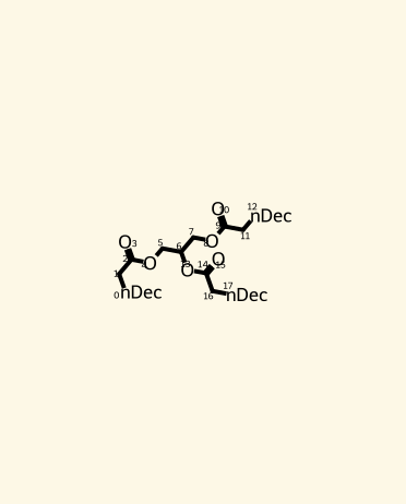 CCCCCCCCCCCC(=O)OCC(COC(=O)CCCCCCCCCCC)OC(=O)CCCCCCCCCCC